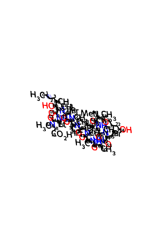 C/C=C/C[C@@H](C)[C@@H](O)[C@@H](C(=O)N[C@@H](CC)C(=O)N(C)CC(=O)O)N(C)C(=O)[C@H](C(C)C)N(C)C(=O)[C@H](CC(C)C)N(C)C(=O)[C@H](CC(C)C)N(C)C(=O)[C@@H](C)NC(=O)[C@H](C)NC(=O)[C@H](CC(C)C)N(C)C(=O)[C@@H](NC(=O)[C@@H](NC)[C@H](C)OCCCCO)C(C)C